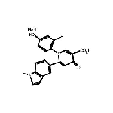 Cn1ccc2cc(-c3cc(=O)c(C(=O)O)cn3-c3ccc(O)cc3F)ccc21.[NaH]